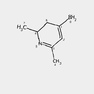 BC1=CC(C)=NC(C)C1